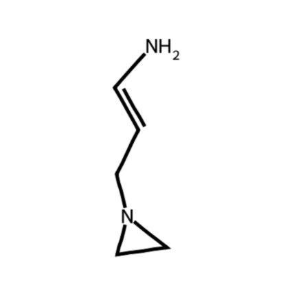 NC=CCN1CC1